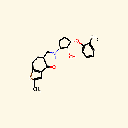 Cc1cc2c(s1)CCC(CN[C@@H]1CC[C@H](Oc3ccccc3C)[C@@H]1O)C2=O